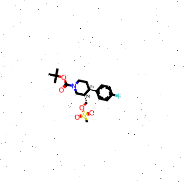 CC(C)(C)OC(=O)N1CC[C@@H](c2ccc(F)cc2)[C@H](COS(C)(=O)=O)C1